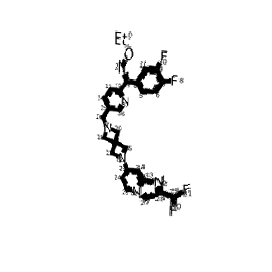 CCON=C(c1ccc(F)c(F)c1)c1ccc(CN2CC3(C2)CN(c2ccn4cc(C(F)F)nc4c2)C3)cn1